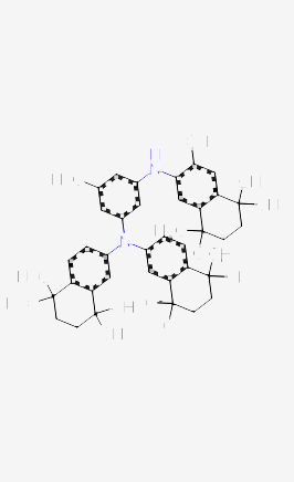 Cc1cc(Nc2cc3c(cc2C)C(C)(C)CCC3(C)C)cc(N(c2ccc3c(c2)C(C)(C)CCC3(C)C)c2ccc3c(c2)C(C)(C)CCC3(C)C)c1